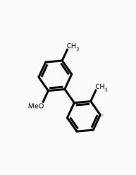 COc1ccc(C)cc1-c1ccc[c]c1C